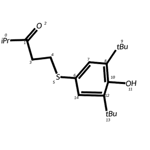 CC(C)C(=O)CCSc1cc(C(C)(C)C)c(O)c(C(C)(C)C)c1